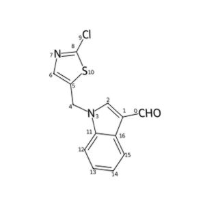 O=Cc1cn(Cc2cnc(Cl)s2)c2ccccc12